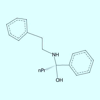 CCC[C@](O)(NCCc1ccccc1)c1ccccc1